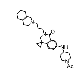 CC(=O)N1CCC(Nc2ccc3c(c2)C(=O)N(CCCN2CCC4=C(CCCC4)C2)CC32CC2)CC1